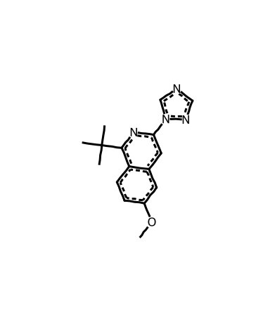 COc1ccc2c(C(C)(C)C)nc(-n3cncn3)cc2c1